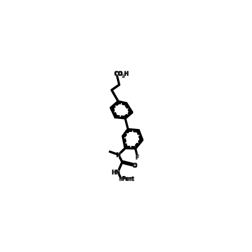 CCCCCNC(=O)N(C)c1cc(-c2ccc(CCC(=O)O)cc2)ccc1F